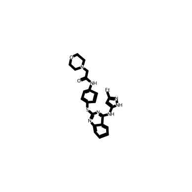 CCc1cc(Nc2nc(Sc3ccc(NC(=O)CN4CCOCC4)cc3)nc3ccccc23)[nH]n1